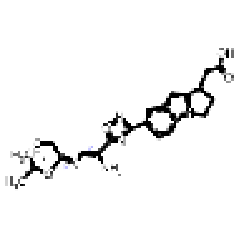 C=C/C(=N\C=C(/N)c1nc(-c2ccc3c(c2)cc2n3CCC2CC(=O)O)no1)OC(C)C